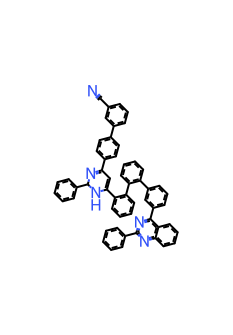 N#Cc1cccc(-c2ccc(C3=NC(c4ccccc4)NC(c4ccccc4-c4ccccc4-c4cccc(-c5nc(-c6ccccc6)nc6ccccc56)c4)=C3)cc2)c1